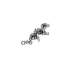 CC(C)(C)OC(=O)CCC(NC(=O)CNC(=O)COC(=O)C(C)(C)Oc1ccc(C(=O)c2ccc(Cl)cc2)cc1)C(=O)OC(C)(C)C